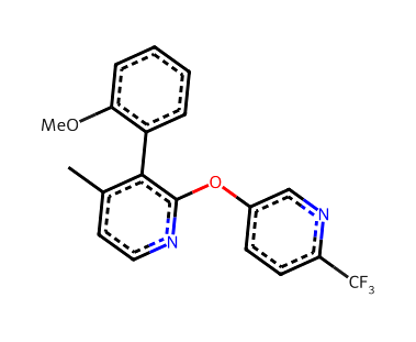 COc1ccccc1-c1c(C)ccnc1Oc1ccc(C(F)(F)F)nc1